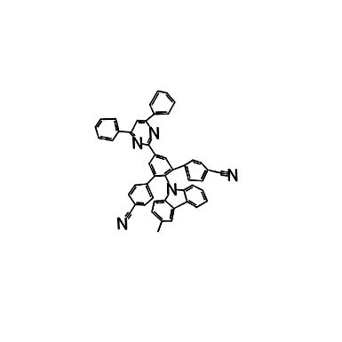 Cc1ccc2c(c1)c1ccccc1n2-c1c(-c2ccc(C#N)cc2)cc(-c2nc(-c3ccccc3)cc(-c3ccccc3)n2)cc1-c1ccc(C#N)cc1